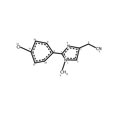 Cn1cc(CC#N)nc1-c1ccc(Cl)cc1